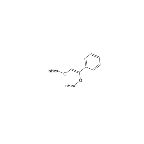 CCCCCCOC=C(OCCCCCC)c1ccccc1